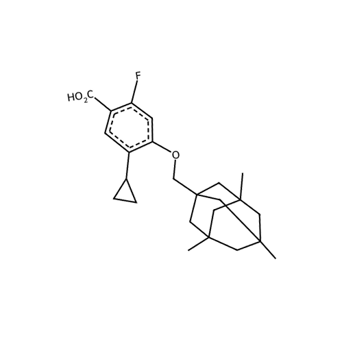 CC12CC3(C)CC(C)(C1)CC(COc1cc(F)c(C(=O)O)cc1C1CC1)(C2)C3